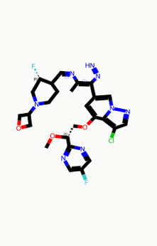 CO[C@H](COc1cc(/C(N=N)=C(C)/N=C\C2CCN(C3COC3)C[C@@H]2F)cn2ncc(Cl)c12)c1ncc(F)cn1